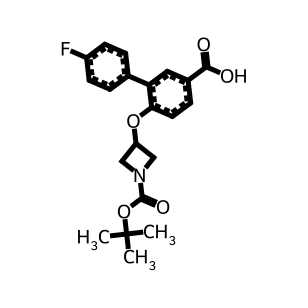 CC(C)(C)OC(=O)N1CC(Oc2ccc(C(=O)O)cc2-c2ccc(F)cc2)C1